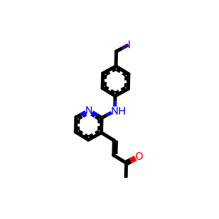 CC(=O)/C=C/c1cccnc1Nc1ccc(CI)cc1